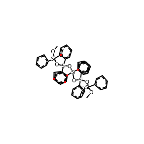 CO[Si](OC)(O[Si](O[Si](O[Si](O[Si](OC)(OC)c1ccccc1)(c1ccccc1)c1ccccc1)(c1ccccc1)c1ccccc1)(c1ccccc1)c1ccccc1)c1ccccc1